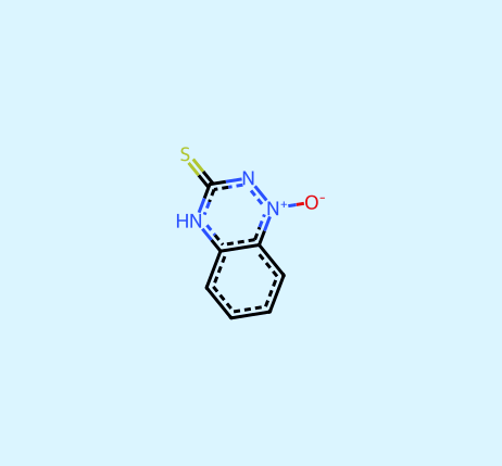 [O-][n+]1nc(=S)[nH]c2ccccc21